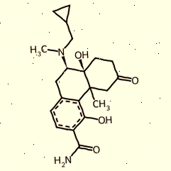 CN(CC1CC1)[C@@H]1Cc2ccc(C(N)=O)c(O)c2C2(C)CC(=O)CC[C@@]12O